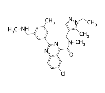 CCn1ncc(CN(C)C(=O)c2nc(-c3cc(C)cc(CNC)c3)nc3ccc(Cl)cc23)c1C